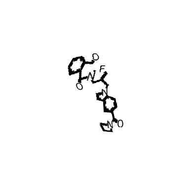 CN(C/C(=C\F)Cn1ccc2cc(C(=O)N3CCC3)ccc21)C(=O)c1ccccc1C=O